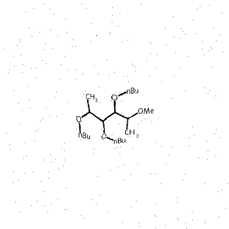 CCCCOC(C)C(OCCCC)C(OCCCC)C(C)OC